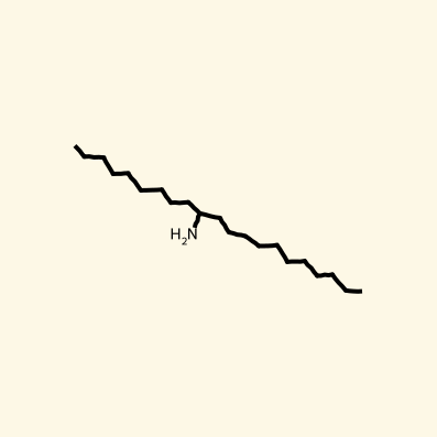 CCCCCCCCCCCC(N)CCCCCCCCC